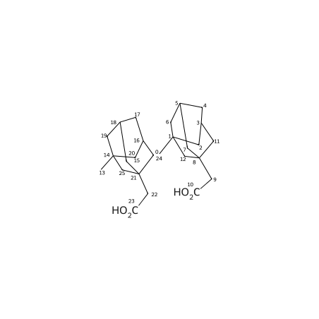 CC12CC3CC(C1)CC(CC(=O)O)(C3)C2.CC12CC3CC(C1)CC(CC(=O)O)(C3)C2